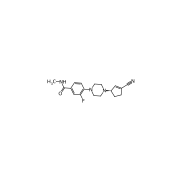 CNC(=O)c1ccc(N2CCN([C@H]3C=C(C#N)CC3)CC2)c(F)c1